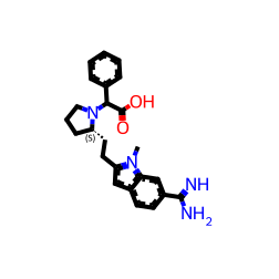 Cn1c(CC[C@@H]2CCCN2C(C(=O)O)c2ccccc2)cc2ccc(C(=N)N)cc21